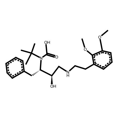 COc1cccc(CCNC[C@@H](O)[C@H](Cc2ccccc2)N(C(=O)O)C(C)(C)C)c1OC